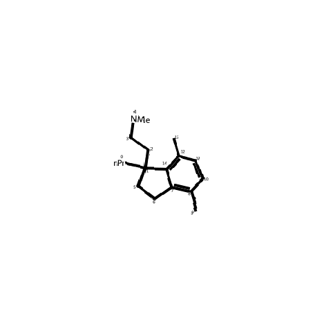 CCCC1(CCNC)CCc2c(C)ccc(C)c21